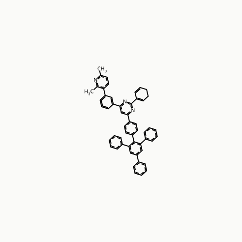 Cc1ccc(C2=C=C=CC(c3cc(-c4ccc(-c5c(-c6ccccc6)cc(-c6ccccc6)cc5-c5ccccc5)cc4)nc(C4=CCCC=C4)n3)=C2)c(C)n1